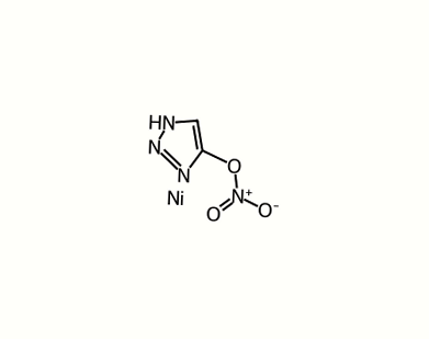 O=[N+]([O-])Oc1c[nH]nn1.[Ni]